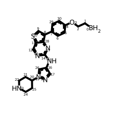 BCCOc1ccc(-c2csc3cnc(Nc4cnn(C5CCNCC5)c4)nc23)cc1